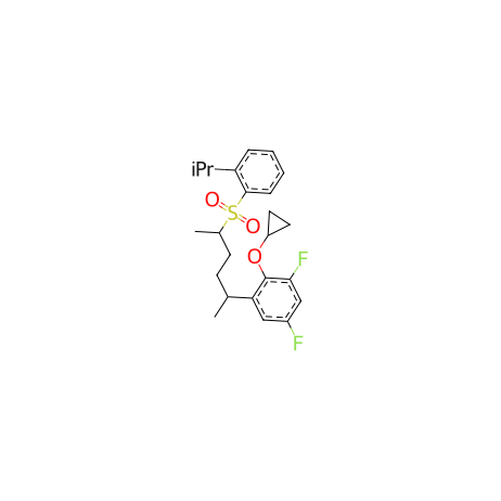 CC(C)c1ccccc1S(=O)(=O)C(C)CCC(C)c1cc(F)cc(F)c1OC1CC1